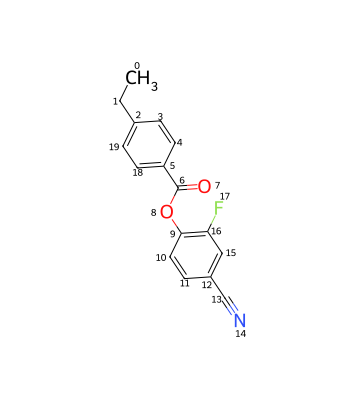 CCc1ccc(C(=O)Oc2ccc(C#N)cc2F)cc1